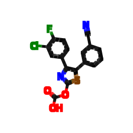 N#Cc1cccc(-c2sc(OC(=O)O)nc2-c2ccc(F)c(Cl)c2)c1